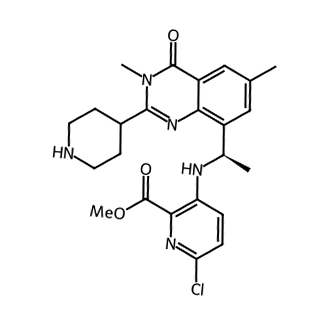 COC(=O)c1nc(Cl)ccc1N[C@H](C)c1cc(C)cc2c(=O)n(C)c(C3CCNCC3)nc12